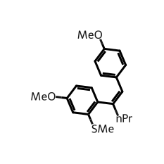 CCCC(=Cc1ccc(OC)cc1)c1ccc(OC)cc1SC